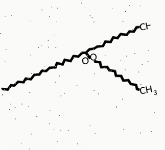 CCCCCCCCCCCCCCCCCCCCCCC(CCCCCCCCCCCCCC)C(=O)OCCCCCCCCCCCCCC